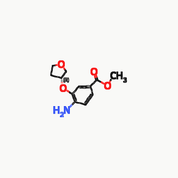 COC(=O)c1ccc(N)c(O[C@@H]2CCOC2)c1